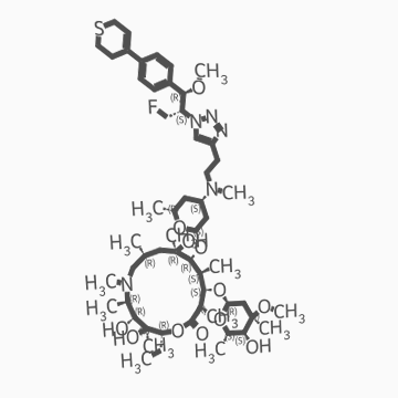 CC[C@H]1OC(=O)[C@H](C)[C@@H](O[C@H]2C[C@@](C)(OC)[C@@H](O)[C@H](C)O2)[C@H](C)[C@@H](O[C@H]2C[C@@H](N(C)CCc3cn([C@H](CF)[C@H](OC)c4ccc(C5=CCSCC5)cc4)nn3)C[C@@H](C)O2)[C@](C)(O)C[C@@H](C)CN(C)[C@H](C)[C@@H](O)[C@]1(C)O